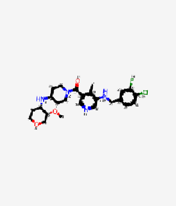 CO[C@@H]1COCC[C@@H]1NC1CCN(C(=O)c2cncc(NCc3ccc(Cl)c(F)c3)c2C)CC1